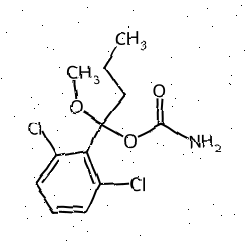 CCCC(OC)(OC(N)=O)c1c(Cl)cccc1Cl